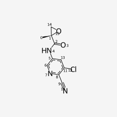 C[C@@]1(C(=O)Nc2cnc(C#N)c(Cl)c2)CO1